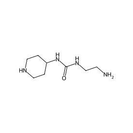 NCCNC(=O)NC1CCNCC1